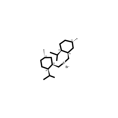 CC(C)[C@H]1CC[C@H](C)C[C@H]1C[B+]C[C@@H]1C[C@@H](C)CC[C@@H]1C(C)C.[Br-]